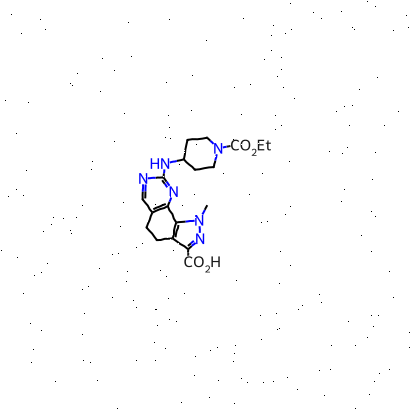 CCOC(=O)N1CCC(Nc2ncc3c(n2)-c2c(c(C(=O)O)nn2C)CC3)CC1